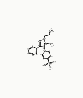 C=CCn1nc(-c2ccncc2)c(-c2ccc(S(N)(=O)=O)cc2)c1C(F)(F)F